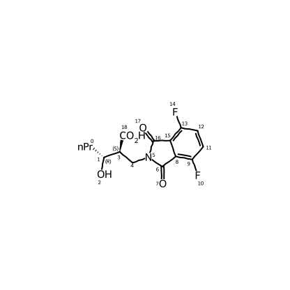 CCC[C@@H](O)[C@H](CN1C(=O)c2c(F)ccc(F)c2C1=O)C(=O)O